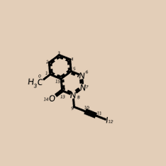 Cc1cccc2nnn(CC#CI)c(=O)c12